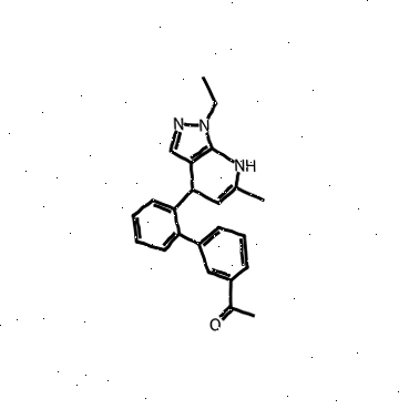 CCn1ncc2c1NC(C)=CC2c1ccccc1-c1cccc(C(C)=O)c1